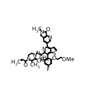 C=CC(=O)N1CCN(/N=C(\C)c2nc(-c3cnc4c(c3)CN(C)C4=O)c3ccsc3c2-c2c(F)cc(F)cc2OCCOC)C(=C)[C@H]1C